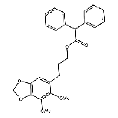 COc1c(CCCOC(=O)C(c2ccccc2)c2ccccc2)cc2c(c1OC)OCO2